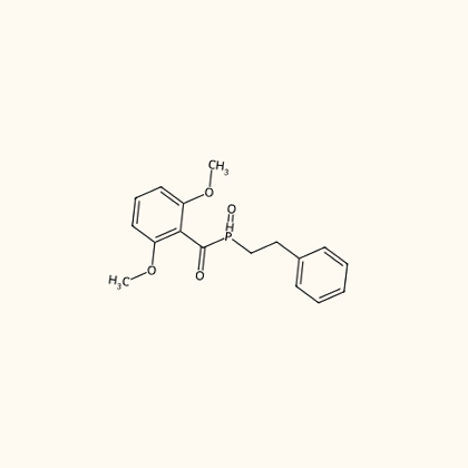 COc1cccc(OC)c1C(=O)[PH](=O)CCc1ccccc1